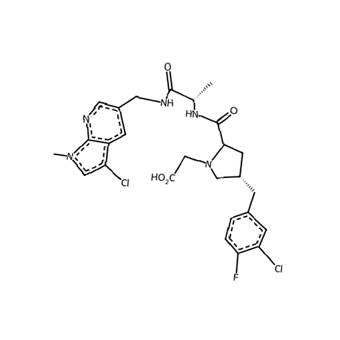 C[C@H](NC(=O)C1C[C@H](Cc2ccc(F)c(Cl)c2)CN1CC(=O)O)C(=O)NCc1cnc2c(c1)c(Cl)cn2C